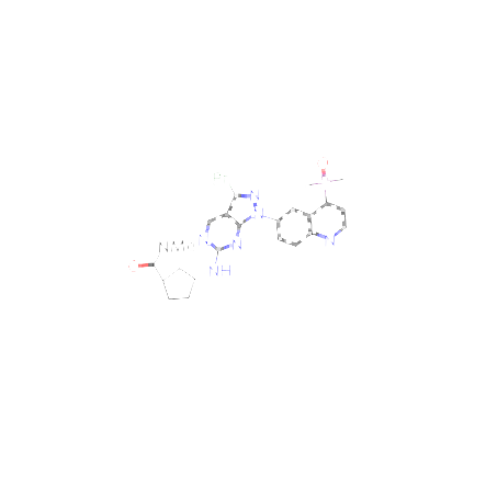 CNC(=O)[C@]1(C)CC[C@@H](Nc2ncc3c(Br)nn(-c4ccc5nccc(P(C)(C)=O)c5c4)c3n2)C1